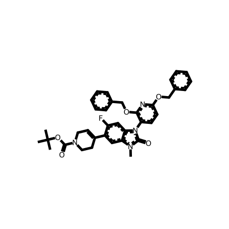 Cn1c(=O)n(-c2ccc(OCc3ccccc3)nc2OCc2ccccc2)c2cc(F)c(C3=CCN(C(=O)OC(C)(C)C)CC3)cc21